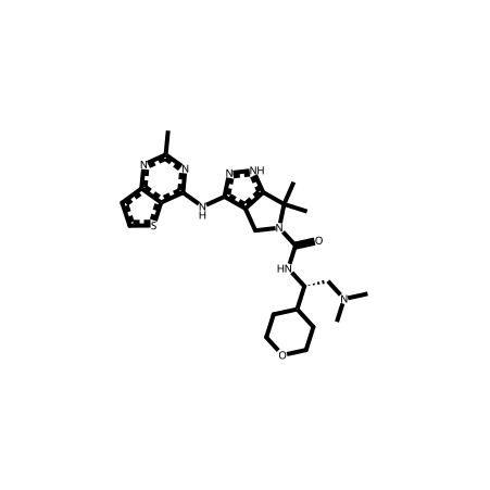 Cc1nc(Nc2n[nH]c3c2CN(C(=O)N[C@H](CN(C)C)C2CCOCC2)C3(C)C)c2sccc2n1